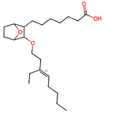 CCCC/C=C(\CC)CCOC1C2CCC(O2)C1CCCCCCC(=O)O